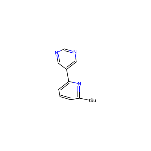 CC(C)(C)c1cccc(-c2cncnc2)n1